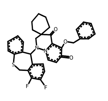 O=C1c2c(OCc3ccccc3)c(=O)ccn2N(C2c3ccccc3SCc3c2ccc(F)c3F)CC12CCCCC2